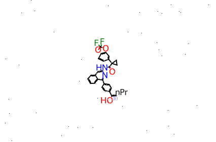 CCC/C=C(/O)c1ccc(-c2nc(NC(=O)C3(c4ccc5c(c4)OC(F)(F)O5)CC3)cc3ccccc23)cc1